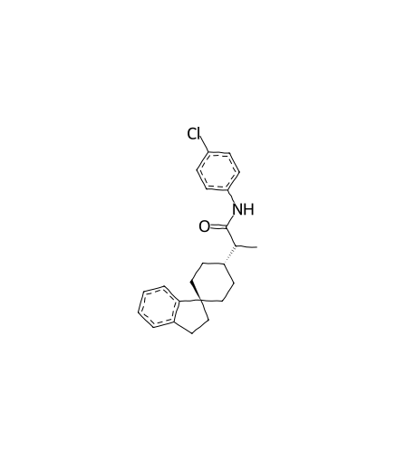 CC(C(=O)Nc1ccc(Cl)cc1)[C@H]1CC[C@]2(CCc3ccccc32)CC1